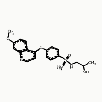 COc1ccc2c(Oc3ccc(S(=N)(=O)NC[C@@H](C)O)cc3)ccnc2c1